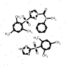 Cc1cc(C)c(S(=O)(=O)c2nc[nH]n2)c(C)c1.Cc1cc(C)c(S(=O)(=O)c2ncn(C(=O)N(C)c3ccccc3)n2)c(C)c1